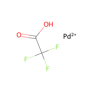 O=C(O)C(F)(F)F.[Pd+2]